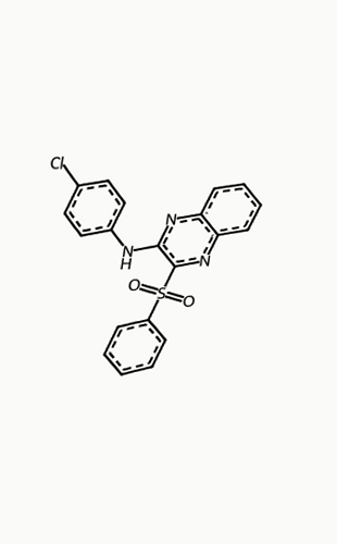 O=S(=O)(c1ccccc1)c1nc2ccccc2nc1Nc1ccc(Cl)cc1